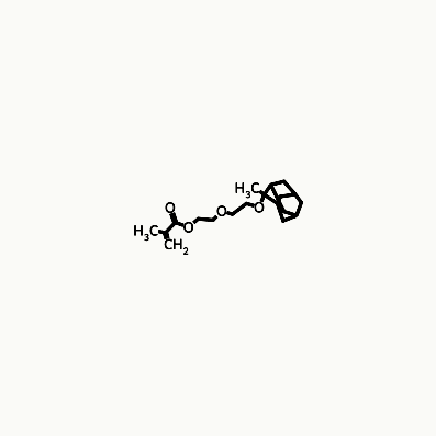 C=C(C)C(=O)OCCOCCOC1(C)C2CC3CC(C2)CC1C3